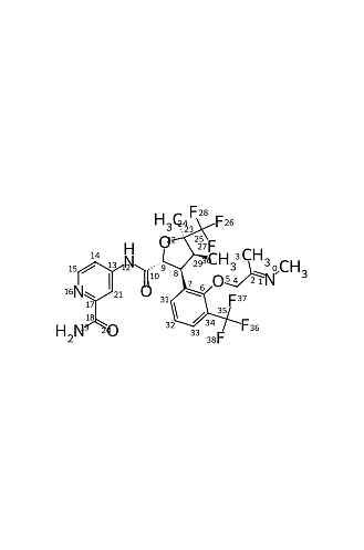 C/N=C(\C)COc1c([C@H]2[C@H](C(=O)Nc3ccnc(C(N)=O)c3)O[C@@](C)(C(F)(F)F)[C@H]2C)cccc1C(F)(F)F